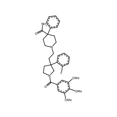 COc1cc(C(=O)N2CCC(CCN3CCC(C(N)=O)(c4ccccc4)CC3)(c3ccccc3F)C2)cc(OC)c1OC